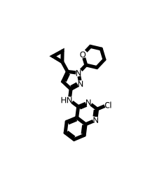 Clc1nc(Nc2cc(C3CC3)n(C3CCCCO3)n2)c2ccccc2n1